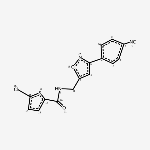 [C-]#[N+]c1ccc(-c2cc(CNC(=O)c3ccc(Cl)s3)on2)cc1